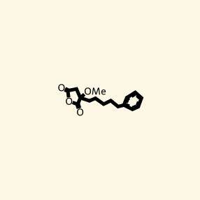 COC1(CCCCCc2ccccc2)CC(=O)OC1=O